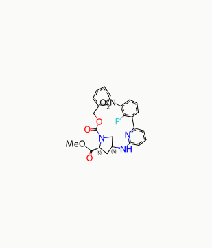 COC(=O)[C@@H]1C[C@H](Nc2cccc(-c3cccc([N+](=O)[O-])c3F)n2)CN1C(=O)OCc1ccccc1